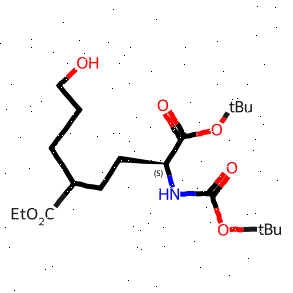 CCOC(=O)C(CCCO)CC[C@H](NC(=O)OC(C)(C)C)C(=O)OC(C)(C)C